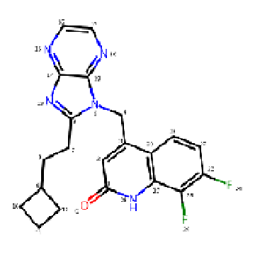 O=c1cc(Cn2c(CCC3CCC3)nc3nccnc32)c2ccc(F)c(F)c2[nH]1